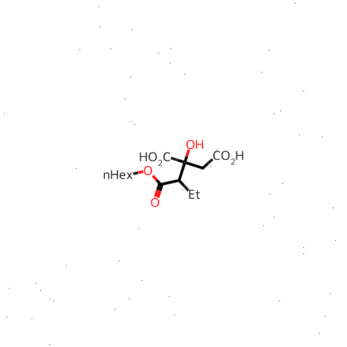 CCCCCCOC(=O)C(CC)C(O)(CC(=O)O)C(=O)O